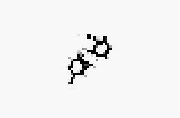 Cc1ccc(Oc2ccccc2C=O)c(C)c1